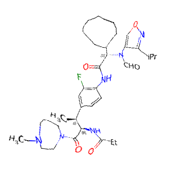 CCC(=O)N[C@@H](C(=O)N1CCN(C)CC1)[C@@H](C)c1ccc(NC(=O)[C@H](C2CCCCCC2)N(C=O)c2conc2C(C)C)c(F)c1